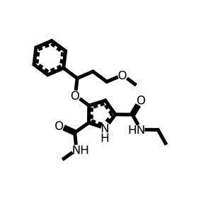 CCNC(=O)c1cc(OC(CCOC)c2ccccc2)c(C(=O)NC)[nH]1